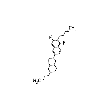 C/C=C/CCc1c(F)cc2cc(C3CCC4CC(CCCC)CCC4C3)ccc2c1F